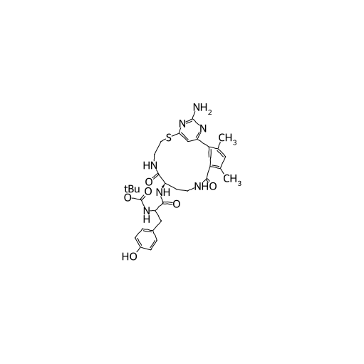 Cc1cc(C)c2cc1C(=O)NCC[C@@H](NC(=O)C(Cc1ccc(O)cc1)NC(=O)OC(C)(C)C)C(=O)NCCSc1cc-2nc(N)n1